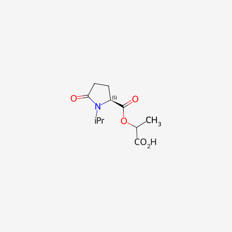 CC(OC(=O)[C@@H]1CCC(=O)N1C(C)C)C(=O)O